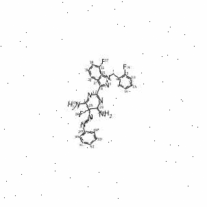 NC1=NC(c2nn(Cc3ccccc3F)c3c(F)cccc23)=NC(N)C1(F)N=Nc1ccccc1